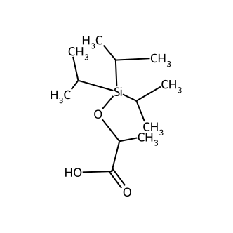 CC(O[Si](C(C)C)(C(C)C)C(C)C)C(=O)O